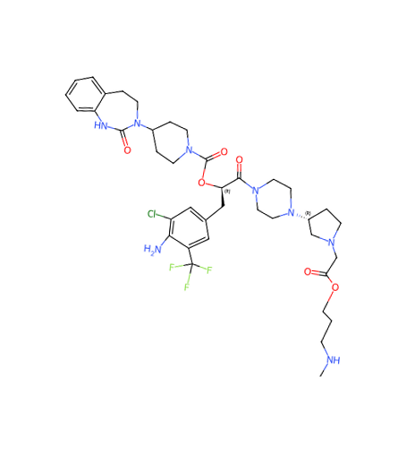 CNCCCOC(=O)CN1CC[C@@H](N2CCN(C(=O)[C@@H](Cc3cc(Cl)c(N)c(C(F)(F)F)c3)OC(=O)N3CCC(N4CCc5ccccc5NC4=O)CC3)CC2)C1